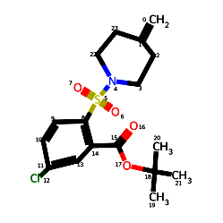 C=C1CCN(S(=O)(=O)c2ccc(Cl)cc2C(=O)OC(C)(C)C)CC1